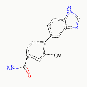 N#Cc1cc(C(N)=O)ccc1-c1ccc2[nH]cnc2c1